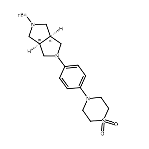 CCCCN1C[C@@H]2CN(c3ccc(N4CCS(=O)(=O)CC4)cc3)C[C@@H]2C1